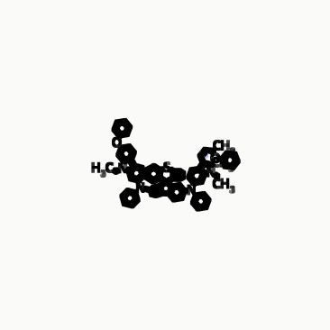 C=C(/C=C\c1c(C)n(CC)c2cc(N(c3ccccc3)c3ccc4c(c3)C3(c5ccccc5Sc5ccccc53)c3cc(N(c5ccccc5)c5ccc6c7ccc(Oc8ccccc8)cc7n(CC)c6c5)ccc3-4)ccc12)Oc1ccccc1